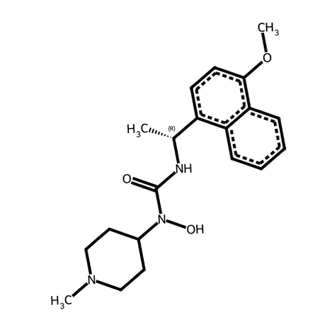 COc1ccc([C@@H](C)NC(=O)N(O)C2CCN(C)CC2)c2ccccc12